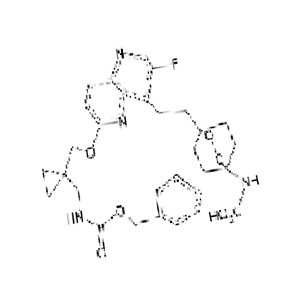 O=C(O)NC12CCC(CCc3c(F)cnc4ccc(OCC5(CNC(=O)OCc6ccccc6)CC5)nc34)(CC1)OC2